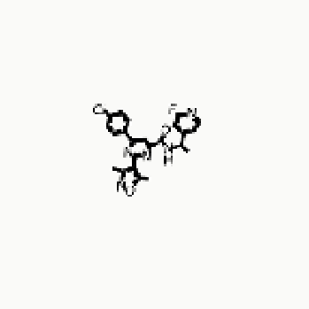 Cc1noc(C)c1-c1nc(C(=O)NC(C)c2ccnc(F)c2)cc(-c2ccc(Cl)cc2)n1